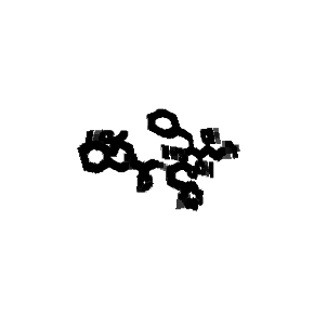 CC(C)C[C@H](O)[C@H](O)[C@H](CC1CCCCC1)NC(=O)[C@@H](CC(=O)N(CC1CCCCC1)CC(C)(C)O)Cc1cscn1